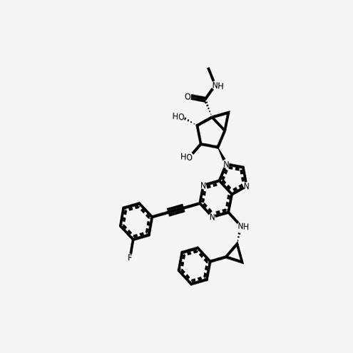 CNC(=O)[C@]12CC1[C@@H](n1cnc3c(N[C@@H]4CC4c4ccccc4)nc(C#Cc4cccc(F)c4)nc31)C(O)[C@@H]2O